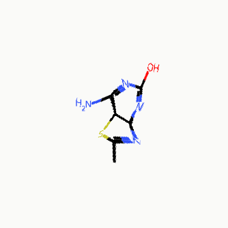 CC1=NC2N=C(O)N=C(N)C2S1